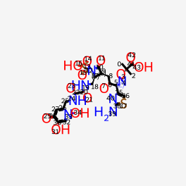 CC(C)(O/N=C(\C(=O)C[C@@H]1C(=O)N(S(=O)(=O)O)[C@@H]1CNC(=O)C(=O)NCc1cc(=O)c(O)cn1O)c1csc(N)n1)C(=O)O